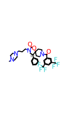 CN1CCN(CCCN2C[C@H](c3ccccc3)C3(CCN(C(=O)c4cc(C(F)(F)F)cc(C(F)(F)F)c4)CC3)OC2=O)CC1